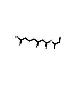 CCC(C)OC(=O)CC(=O)CCCC(=O)O